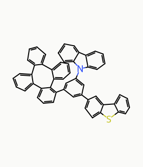 c1ccc2c(c1)-c1ccccc1-c1cccc(-c3cc(-c4ccc5sc6ccccc6c5c4)cc(-n4c5ccccc5c5ccccc54)c3)c1-c1ccccc1-2